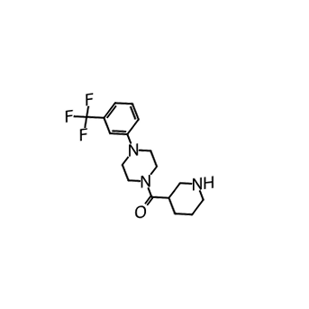 O=C(C1CCCNC1)N1CCN(c2cccc(C(F)(F)F)c2)CC1